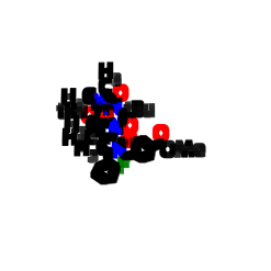 COC(=O)c1ccc(CN(C(=O)[C@@H]2C[Si](C)(C)CN2C(=O)[C@@H](NC(=O)[C@H](C)N(C)C(=O)OC(C)(C)C)C(C)(C)C)[C@H](C)c2ccccc2F)cc1